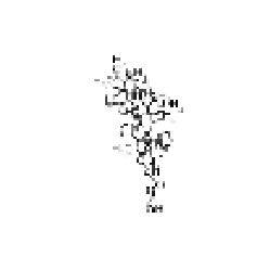 CC[C@H](C)[C@@H]([C@@H](CC(=O)N1CCC[C@H]1[C@H](OC)[C@@H](C)C(=O)N[C@@H](Cc1ccccc1)c1nc(C(=O)OCCO)cs1)OC)N(C)C(=O)[C@@H](NC(=O)C(C(C)C)N(C)C)C(C)C